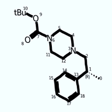 C[C@@H](CN1CCN(C(=O)OC(C)(C)C)CC1)c1ccccc1